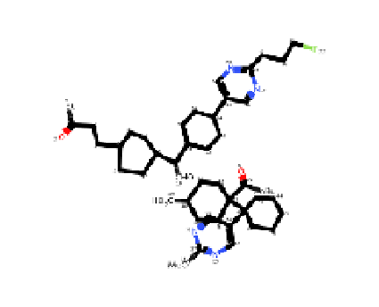 CCC(=O)CCC1CCC(C(C=O)C2CCC(c3cnc(CCCF)nc3)CC2)CC1.CCCCC(=O)C1(C2(c3cnc(OC)nc3)CCCCC2)CCC(C(=O)O)CC1